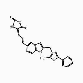 Cc1oc(-c2ccccc2)nc1Cc1cc2cc(C=CC=C3NC(=O)OC3=O)ccc2o1